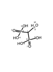 CC(P(=O)(O)O)P(=O)(O)O.O